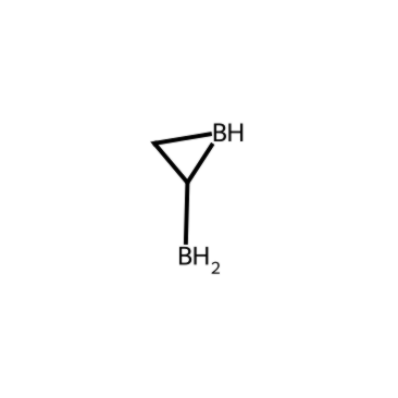 BC1BC1